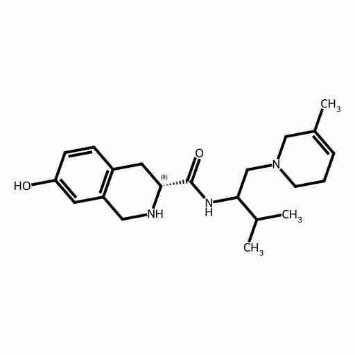 CC1=CCCN(CC(NC(=O)[C@H]2Cc3ccc(O)cc3CN2)C(C)C)C1